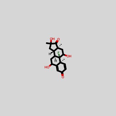 CC1(O)C[C@H]2[C@@H]3CC(O)C4=CC(=O)C=C[C@]4(C)[C@@]3(F)C(O)C[C@]2(C)C1=O